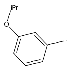 [CH2]c1cccc(OC(C)C)c1